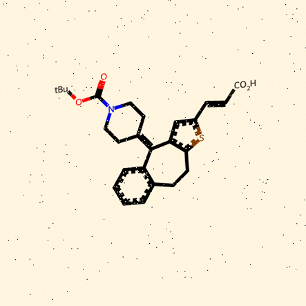 CC(C)(C)OC(=O)N1CCC(=C2c3ccccc3CCc3sc(C=CC(=O)O)cc32)CC1